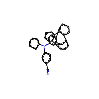 N#Cc1ccc(N(c2ccccc2)c2ccc3c(c2)-c2c4cccc2-c2cccc-3c2-c2ccccc2-4)cc1